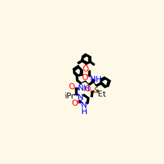 CCSC(C)O[C@@H](C[C@H](Cc1ccccc1)NC(=O)[C@H](C(C)C)N1CCCNC1=O)[C@H](Cc1ccccc1)NC(=O)COc1c(C)cccc1C